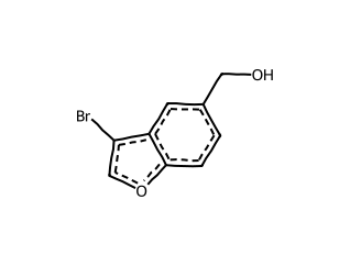 OCc1ccc2occ(Br)c2c1